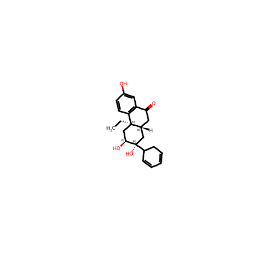 CC[C@@]12C[C@H](O)[C@](O)(C3C=CC=CC3)C[C@H]1CC(=O)c1cc(O)ccc12